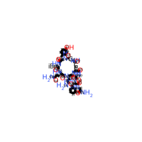 CC[C@H](C)[C@@H]1NC(=O)[C@H](Cc2ccc(O)cc2)NC(=O)CNC(=O)CC[C@@H](C(=O)N(C)CC(=O)N[C@@H](CC2CCCCC2)C(=O)NCC(N)=O)NC(=O)[C@H](CCC(N)=O)NC(=O)[C@H](CCC(N)=O)NC1=O